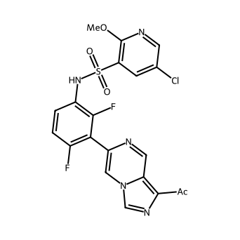 COc1ncc(Cl)cc1S(=O)(=O)Nc1ccc(F)c(-c2cn3cnc(C(C)=O)c3cn2)c1F